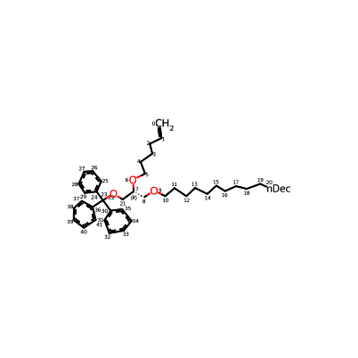 C=CCCCCO[C@H](COCCCCCCCCCCCCCCCCCCCC)COC(c1ccccc1)(c1ccccc1)c1ccccc1